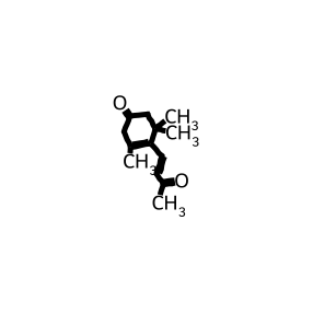 CC(=O)C=CC1=C(C)CC(=O)CC1(C)C